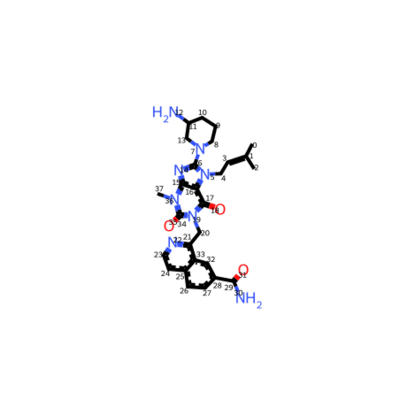 CC(C)=CCn1c(N2CCCC(N)C2)nc2c1c(=O)n(Cc1nccc3ccc(C(N)=O)cc13)c(=O)n2C